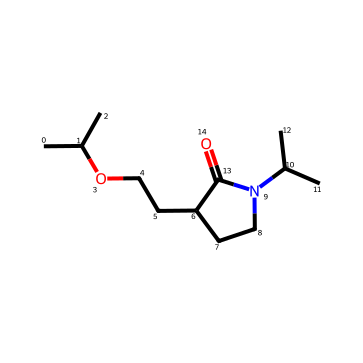 CC(C)OCCC1CCN(C(C)C)C1=O